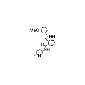 COc1cccc(-c2nc3c(C(=O)Nc4ccc(C)nc4)ccnc3[nH]2)c1